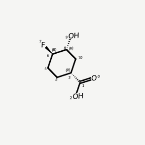 O=C(O)[C@@H]1CC[C@@H](F)[C@H](O)C1